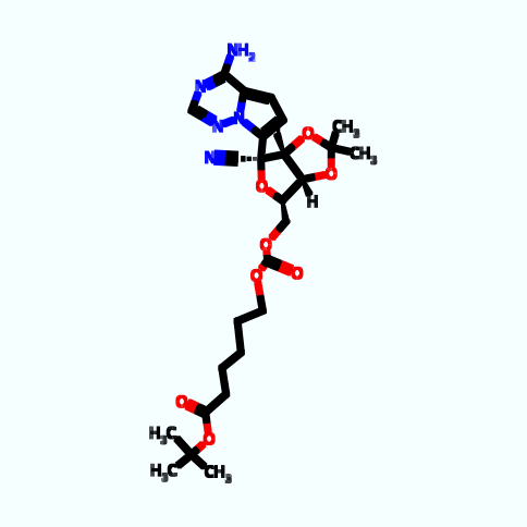 CC(C)(C)OC(=O)CCCCCOC(=O)OC[C@H]1O[C@@](C#N)(c2ccc3c(N)ncnn23)[C@@H]2OC(C)(C)O[C@@H]21